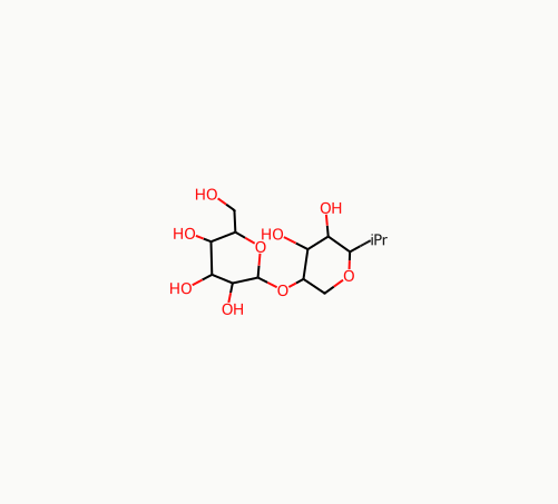 CC(C)C1OCC(OC2OC(CO)C(O)C(O)C2O)C(O)C1O